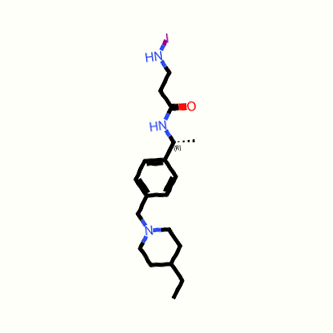 CCC1CCN(Cc2ccc([C@@H](C)NC(=O)CCNI)cc2)CC1